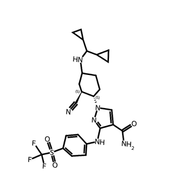 N#C[C@H]1CC(NC(C2CC2)C2CC2)CC[C@@H]1n1cc(C(N)=O)c(Nc2ccc(S(=O)(=O)C(F)(F)F)cc2)n1